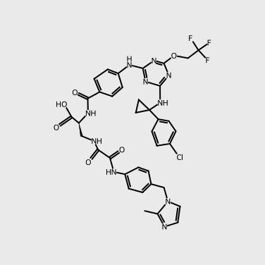 Cc1nccn1Cc1ccc(NC(=O)C(=O)NC[C@H](NC(=O)c2ccc(Nc3nc(NC4(c5ccc(Cl)cc5)CC4)nc(OCC(F)(F)F)n3)cc2)C(=O)O)cc1